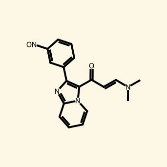 CN(C)/C=C/C(=O)c1c(-c2cccc(N=O)c2)nc2ccccn12